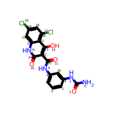 NC(=O)Nc1cccc(NC(=O)c2c(O)c3c(Cl)cc(Cl)cc3[nH]c2=O)c1